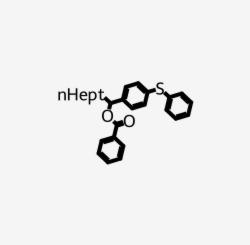 CCCCCCCC(OC(=O)c1ccccc1)c1ccc(Sc2ccccc2)cc1